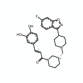 O=C(/C=C/c1ccc(O)c(O)c1)N1CCC[C@@H](CN2CCC(c3noc4cc(F)ccc34)CC2)C1